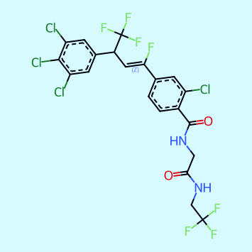 O=C(CNC(=O)c1ccc(/C(F)=C/C(c2cc(Cl)c(Cl)c(Cl)c2)C(F)(F)F)cc1Cl)NCC(F)(F)F